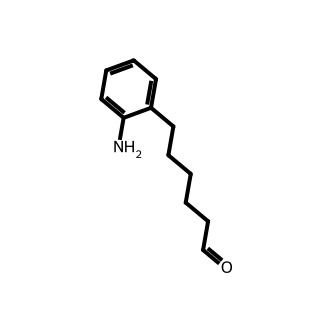 Nc1ccccc1CCCCCC=O